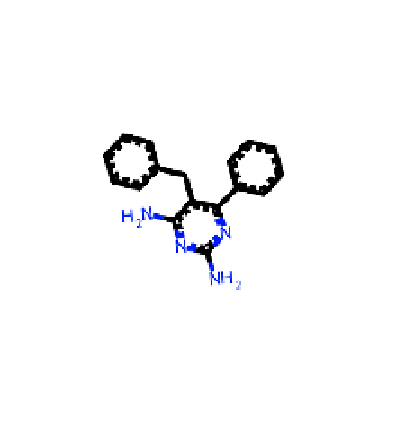 Nc1nc(N)c(Cc2ccccc2)c(-c2ccccc2)n1